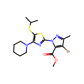 COC(=O)c1c(Br)c(C)nn1-c1nc(N2CCCCC2)c(SC(C)C)s1